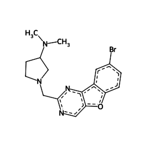 CN(C)C1CCN(Cc2ncc3oc4ccc(Br)cc4c3n2)C1